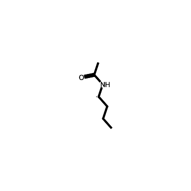 CCC[CH]NC(C)=O